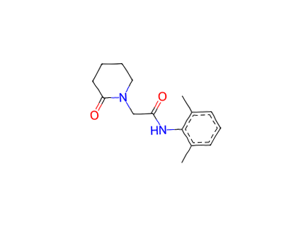 Cc1cccc(C)c1NC(=O)CN1CCCCC1=O